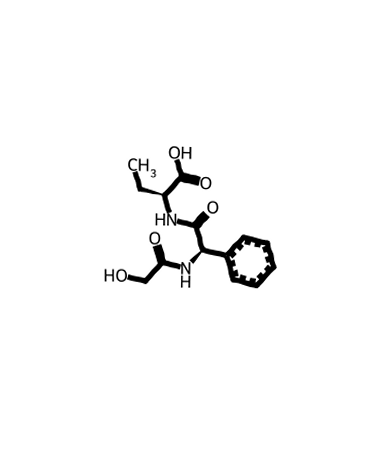 CC[C@H](NC(=O)[C@H](NC(=O)CO)c1ccccc1)C(=O)O